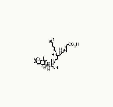 CCOCCCCCNC(CCCNC(=N)NS(=O)(=O)c1c(C)c(C)c2c(c1C)CC(C)(C)O2)CNCCNCC(=O)O